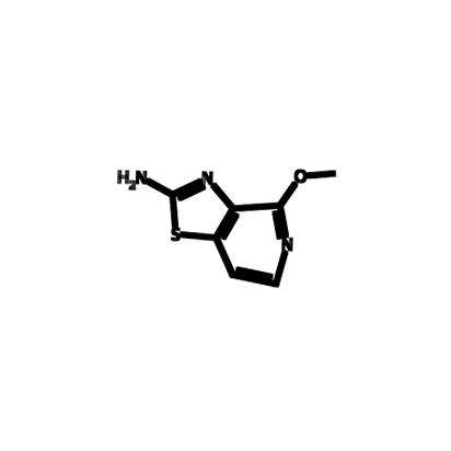 COc1nccc2sc(N)nc12